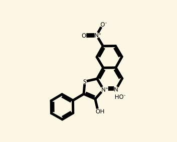 O=[N+]([O-])c1ccc2cn[n+]3c(O)c(-c4ccccc4)sc3c2c1.[OH-]